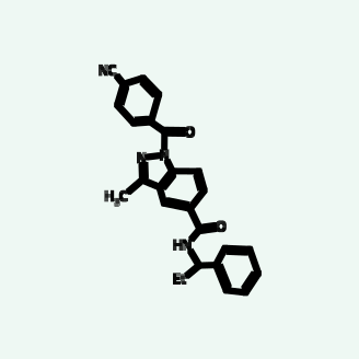 CCC(NC(=O)c1ccc2c(c1)c(C)nn2C(=O)c1ccc(C#N)cc1)c1ccccc1